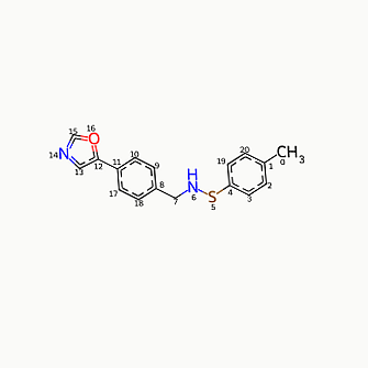 Cc1ccc(SNCc2ccc(-c3cnco3)cc2)cc1